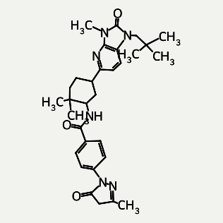 CC1=NN(c2ccc(C(=O)NC3CC(c4ccc5c(n4)n(C)c(=O)n5CC(C)(C)C)CCC3(C)C)cc2)C(=O)C1